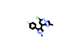 Cc1cn2nc(Cl)cc(-c3cn(C)nc3-c3ccc(F)cc3)c2n1